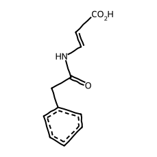 O=C(O)C=CNC(=O)Cc1ccccc1